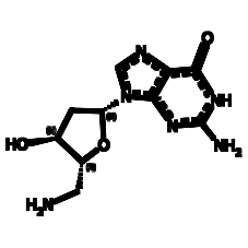 NC[C@H]1O[C@@H](n2cnc3c(=O)[nH]c(N)nc32)C[C@@H]1O